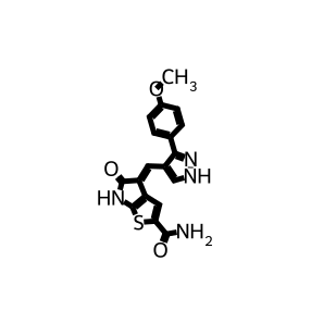 COc1ccc(-c2n[nH]cc2/C=C2/C(=O)Nc3sc(C(N)=O)cc32)cc1